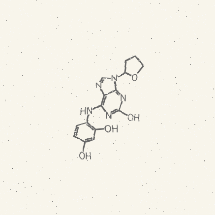 Oc1ccc(Nc2nc(O)nc3c2ncn3C2CCCO2)c(O)c1